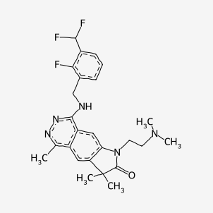 Cc1nnc(NCc2cccc(C(F)F)c2F)c2cc3c(cc12)C(C)(C)C(=O)N3CCN(C)C